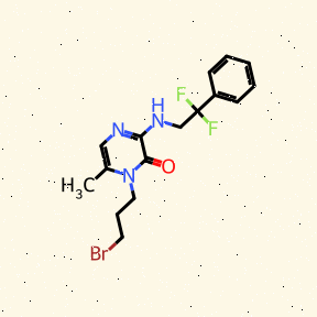 Cc1cnc(NCC(F)(F)c2ccccc2)c(=O)n1CCCBr